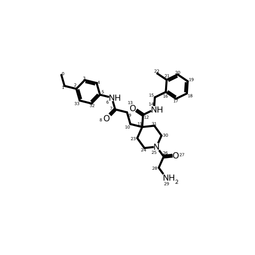 CCc1ccc(NC(=O)CCC2(C(=O)NCc3ccccc3C)CCN(C(=O)CN)CC2)cc1